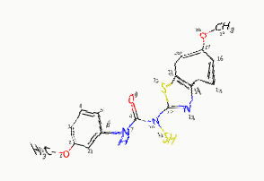 COc1cccc(NC(=O)N(S)c2nc3ccc(OC)cc3s2)c1